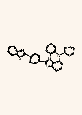 c1ccc(N2c3ccccc3-n3c(-c4ccc(-c5nc6ccccc6s5)cc4)nc4cccc2c43)cc1